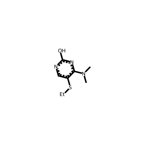 CCSc1cnc(O)nc1N(C)C